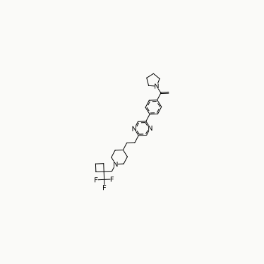 C=C(c1ccc(-c2cnc(CCC3CCN(CC4(C(F)(F)F)CCC4)CC3)cn2)cc1)N1CCCC1